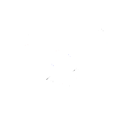 CCCCOCCCCN1C(=O)N(Cc2ccc(F)c(C#N)c2)[C@H](Cc2ccccc2)[C@@H]2OC(C)(C)O[C@H]2[C@H]1Cc1ccccc1